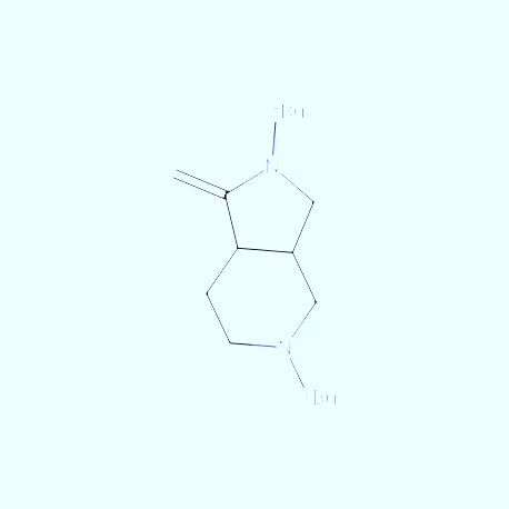 C=C1C2CCN(C(C)(C)C)CC2CN1C(C)(C)C